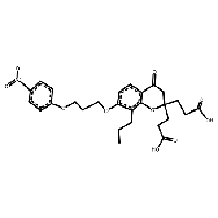 CCCc1c(OCCCOc2ccc([N+](=O)[O-])cc2)ccc2c1OC(CCC(=O)O)(CCC(=O)O)CC2=O